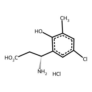 Cc1cc(Cl)cc([C@H](N)CC(=O)O)c1O.Cl